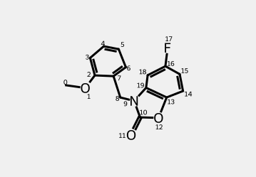 COc1ccccc1Cn1c(=O)oc2ccc(F)cc21